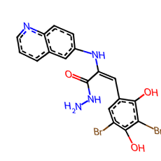 NNC(=O)C(=Cc1cc(Br)c(O)c(Br)c1O)Nc1ccc2ncccc2c1